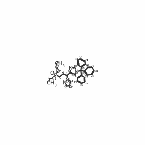 CCOP(=O)(CCC(c1ncn(C(c2ccccc2)(c2ccccc2)c2ccccc2)n1)n1cncn1)OCC